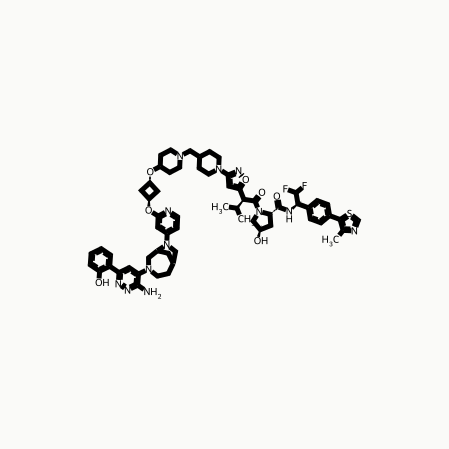 Cc1ncsc1-c1ccc([C@@H](NC(=O)[C@@H]2C[C@@H](O)CN2C(=O)[C@H](c2cc(N3CCC(CN4CCC(O[C@H]5C[C@H](Oc6cc(N7CC8CCN(c9cc(-c%10ccccc%10O)nnc9N)CC7C8)ccn6)C5)CC4)CC3)no2)C(C)C)C(F)F)cc1